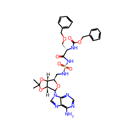 CC1(C)O[C@@H]2[C@H](O1)[C@@H](CNS(=O)(=O)NC(=O)[C@H](COCc1ccccc1)NC(=O)OCc1ccccc1)O[C@H]2n1cnc2c(N)ncnc21